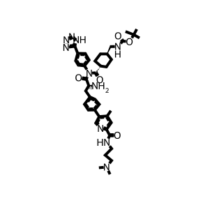 Cc1cc(C(=O)NCCCN(C)C)ncc1-c1ccc(C[C@H](N)C(=O)N(c2ccc(-c3nnn[nH]3)cc2)C(=O)[C@H]2CC[C@H](CNC(=O)OC(C)(C)C)CC2)cc1